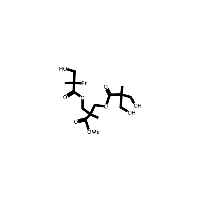 CCC(C)(CO)C(=O)OCC(C)(COC(=O)C(C)(CO)CO)C(=O)OC